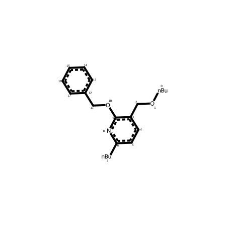 CCCCOCc1ccc(CCCC)nc1OCc1ccccc1